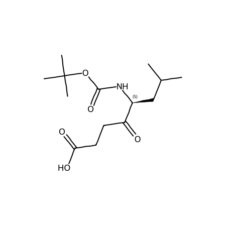 CC(C)C[C@H](NC(=O)OC(C)(C)C)C(=O)CCC(=O)O